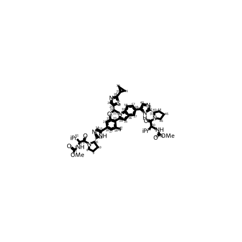 COC(=O)NC(C(=O)N1CCC[C@H]1c1ncc(-c2cc(F)c3c(c2)O[C@@H](c2cnc(C4CC4)s2)n2c-3cc3cc(-c4cnc([C@@H]5CCCN5C(=O)C(NC(=O)OC)C(C)C)[nH]4)ccc32)[nH]1)C(C)C